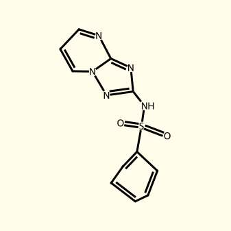 O=S(=O)(Nc1nc2ncccn2n1)c1ccccc1